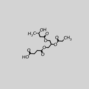 CCC(=O)OC(COC(=O)CCC(=O)O)COC(=O)C[C@@H](C)O